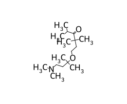 CC(C)C(=O)C(C)(C)CCOC(C)(C)CCN(C)C